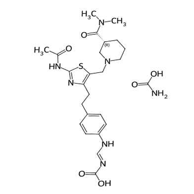 CC(=O)Nc1nc(CCc2ccc(NC=NC(=O)O)cc2)c(CN2CCC[C@@H](C(=O)N(C)C)C2)s1.NC(=O)O